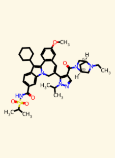 CCN1C[C@@H]2C[C@H]1CN2C(=O)c1cnn(C(C)C)c1C1=Cc2cc(OC)ccc2-c2c(C3CCCCC3)c3ccc(C(=O)NS(=O)(=O)C(C)C)cc3n2C1